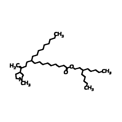 C=C(CCC(CCCCCCCCC)CCCCCCCCC(=O)OCCC(CCCCC)CCCCC)C1CCN(C)C1